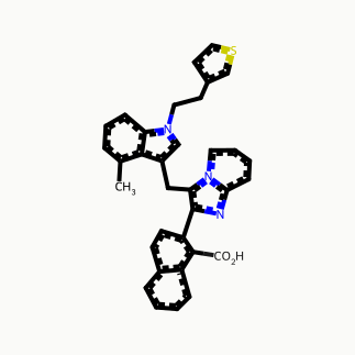 Cc1cccc2c1c(Cc1c(-c3ccc4ccccc4c3C(=O)O)nc3ccccn13)cn2CCc1ccsc1